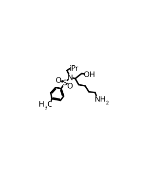 Cc1ccc(S(=O)(=O)N(CC(C)C)C(CO)CCCCN)cc1